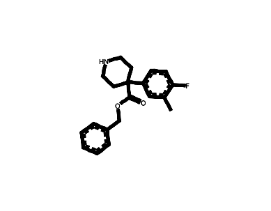 Cc1cc(C2(C(=O)OCc3ccccc3)CCNCC2)ccc1F